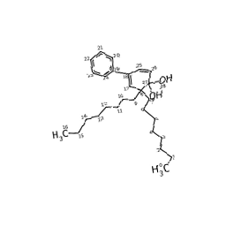 CCCCCCCCC1(CCCCCCCC)C=C(c2ccccc2)C=CC1(O)O